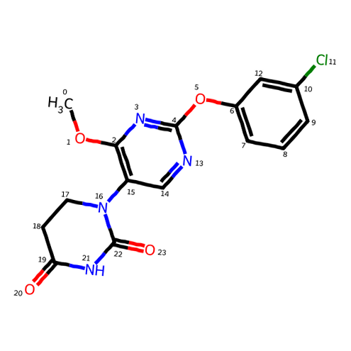 COc1nc(Oc2cccc(Cl)c2)ncc1N1CCC(=O)NC1=O